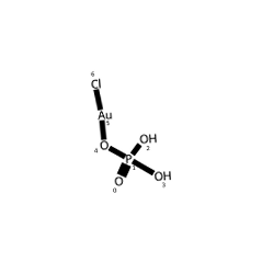 O=P(O)(O)[O][Au][Cl]